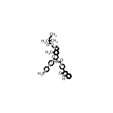 C=CCC(C)(C)C(=O)OCn1ncc2cc(CC(NC(=O)N3CCC(c4cc5ccccc5[nH]c4=O)CC3)C(=O)N3CCN(C4CCN(C)CC4)CC3)cc(C)c21